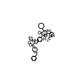 CCC(=O)NC(Cc1ccc(NC(=O)C(NC(=O)c2ccnn2C)C2CCCCCC2)cc1)C(=O)N1CCN(Cc2ccccc2)CC1